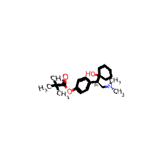 CN(C)C[C@@H](c1ccc(OC(=O)C(C)(C)C)cc1)C1(O)CCCCC1